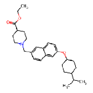 CCOC(=O)C1CCN(Cc2ccc3cc(OC4CCC(C(C)C)CC4)ccc3c2)CC1